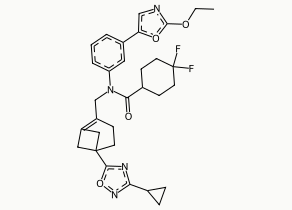 CCOc1ncc(-c2cccc(N(CC3=C4CC(c5nc(C6CC6)no5)(CC3)C4)C(=O)C3CCC(F)(F)CC3)c2)o1